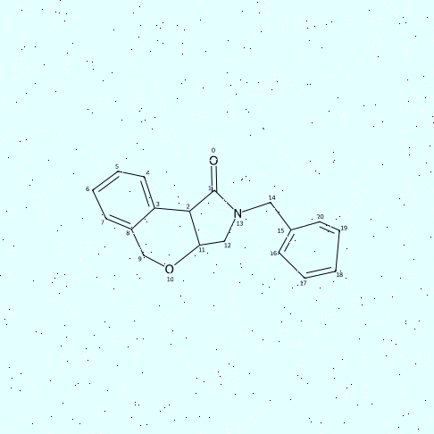 O=C1C2c3ccccc3COC2CN1Cc1ccccc1